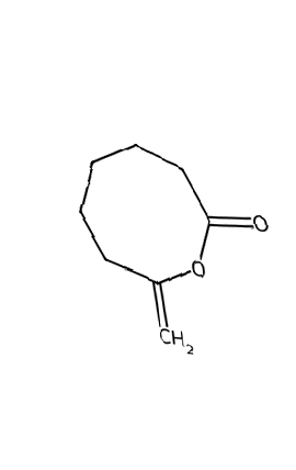 C=C1CCCCCC(=O)O1